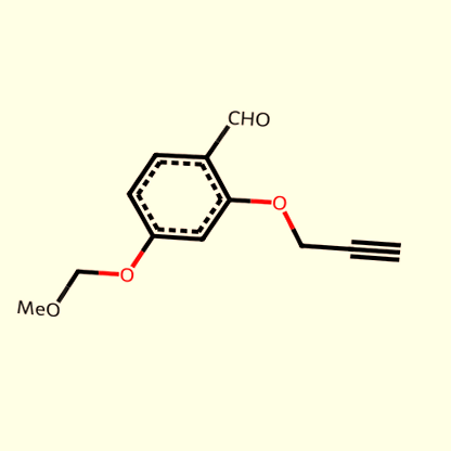 C#CCOc1cc(OCOC)ccc1C=O